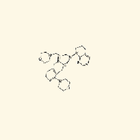 c1cnc2c(c1)CCC[C@@H]2N(CCCN1CCOCC1)C[C@H]1Cc2c(cccc2N2CCOCC2)CN1